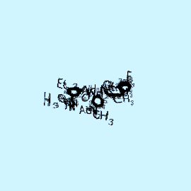 CCc1cc(NC(=O)N[C@@H]2C[C@@H](N(C)C(C)=O)CC[C@H]2CN(C)CC(C)(C)Cc2ccc(F)cc2)cc(-c2nnnn2C)c1